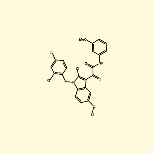 CCOc1ccc2c(c1)c(C(=O)C(=O)Nc1cccc(OC)c1)c(Cl)n2Cc1ccc(Cl)cc1Cl